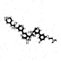 CN(C)CCOc1cc(F)cc(-c2cncc3[nH]c(-c4n[nH]c5cnc(-c6cncc(NC(=O)CC7CCNCC7)c6)cc45)nc23)c1